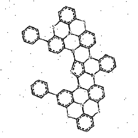 c1ccc(-c2cc3c4c(c2)B2c5sc6c7c5N(c5ccccc5N7c5ccc7c8c5B6c5ccc(-c6ccccc6)c6c5N8c5c(cccc5S6)S7)c5ccc6c(c52)N4c2c(cccc2S6)S3)cc1